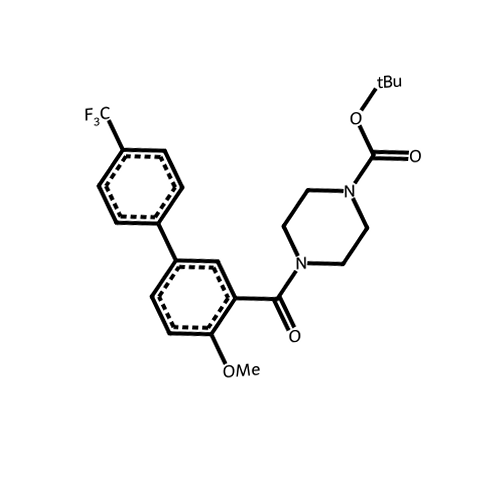 COc1ccc(-c2ccc(C(F)(F)F)cc2)cc1C(=O)N1CCN(C(=O)OC(C)(C)C)CC1